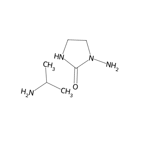 CC(C)N.NN1CCNC1=O